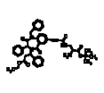 CCOC(=O)CC(c1ccccc1)N1C(=O)c2cc(C#CC(=O)NCC(N)C(=O)OC(C)(C)C)ccc2N(Cc2ccccc2)C(=O)C1c1ccccc1